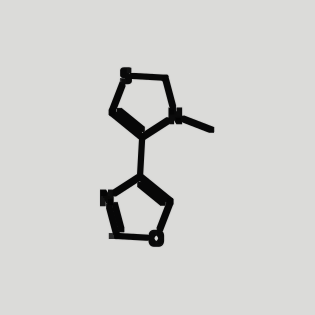 CN1CSC=C1c1co[c]n1